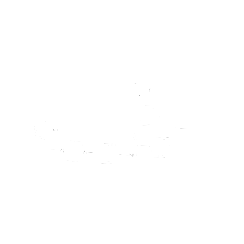 CC(C)c1cccc(C(=O)Nc2ccc(N3CCN(Cc4ccc[nH]4)CC3)cc2)c1-c1ccc(C(F)(F)F)cc1